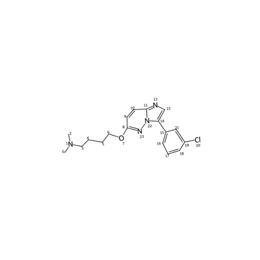 CN(C)CCCCOc1ccc2ncc(-c3cccc(Cl)c3)n2n1